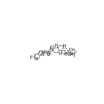 COC[C@]12CC[C@@](C)(O)C[C@@H]1CC[C@H]1[C@@H]3CC[C@H](C(=O)Cn4cc5cc(F)ncc5n4)[C@@]3(C)CC[C@@H]12